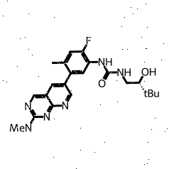 CNc1ncc2cc(-c3cc(NC(=O)NC[C@H](O)C(C)(C)C)c(F)cc3C)cnc2n1